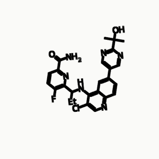 CCC(Nc1c(Cl)cnc2ccc(-c3cnc(C(C)(C)O)nc3)cc12)c1nc(C(N)=O)ccc1F